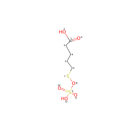 O=C(O)CCCCSOS(=O)(=O)O